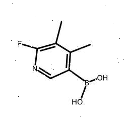 Cc1c(B(O)O)cnc(F)c1C